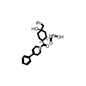 CC(C)C[C@@]1(O)CC[C@H](C(=O)N2CC=C(c3ccccc3)CC2)[C@@H](C(=O)NO)C1